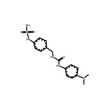 CN(C)c1ccc(NC(=O)NCc2ccc(NS(N)(=O)=O)cc2)cc1